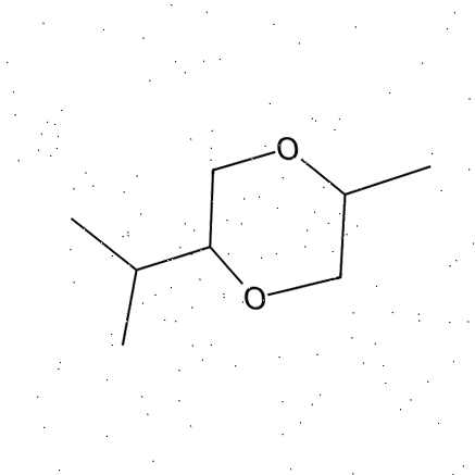 CC1COC(C(C)C)CO1